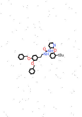 CC(C)(C)c1ccccc1Oc1ncccc1NC(=O)NCCc1ccc(OCc2ccccc2)c(OCc2ccccc2)c1